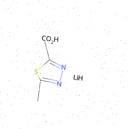 Cc1nnc(C(=O)O)s1.[LiH]